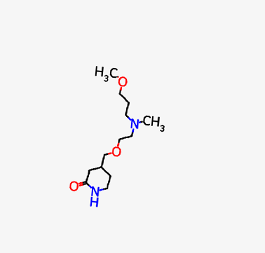 COCCCN(C)CCOCC1CCNC(=O)C1